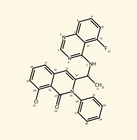 CC(Nc1ncnc2cccc(F)c12)c1cc2cccc(Cl)c2c(=O)n1-c1ccccc1